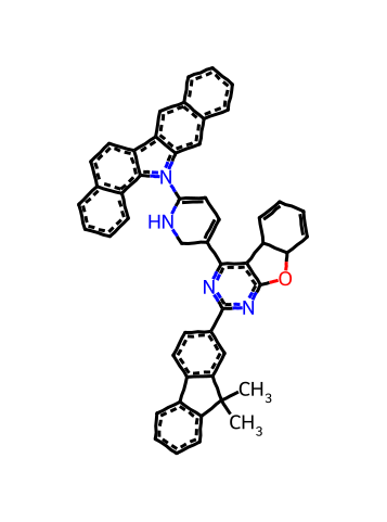 CC1(C)c2ccccc2-c2ccc(-c3nc4c(c(C5=CC=C(n6c7cc8ccccc8cc7c7ccc8ccccc8c76)NC5)n3)C3C=CC=CC3O4)cc21